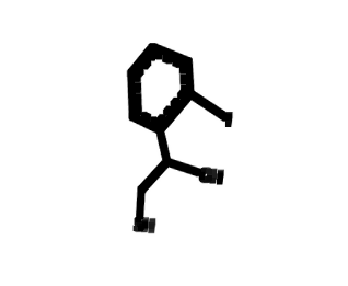 OC(CS)c1ccccc1I